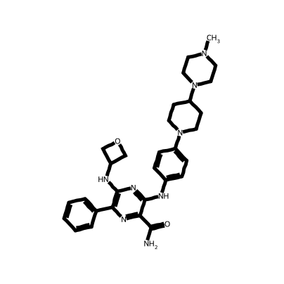 CN1CCN(C2CCN(c3ccc(Nc4nc(NC5COC5)c(-c5ccccc5)nc4C(N)=O)cc3)CC2)CC1